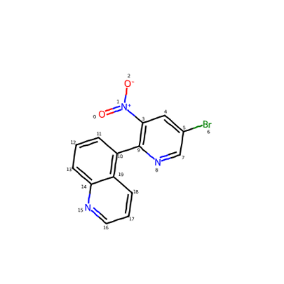 O=[N+]([O-])c1cc(Br)cnc1-c1cccc2ncccc12